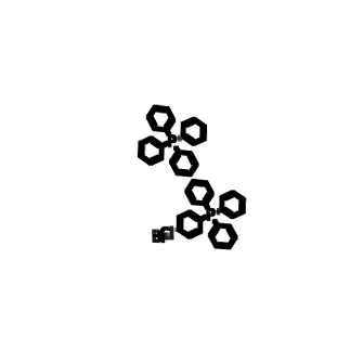 [Br-].[Cl-].c1ccc([P+](c2ccccc2)(c2ccccc2)c2ccccc2)cc1.c1ccc([P+](c2ccccc2)(c2ccccc2)c2ccccc2)cc1